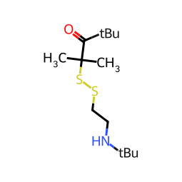 CC(C)(C)NCCSSC(C)(C)C(=O)C(C)(C)C